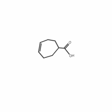 O=C(O)C1CCC=CCC1